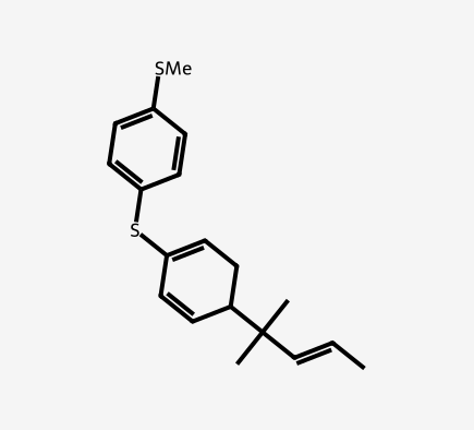 CC=CC(C)(C)C1C=CC(Sc2ccc(SC)cc2)=CC1